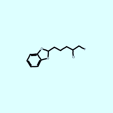 FCC(Cl)CCCC1Oc2ccccc2O1